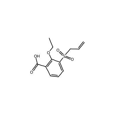 C=CCS(=O)(=O)c1cccc(C(=O)O)c1OCC